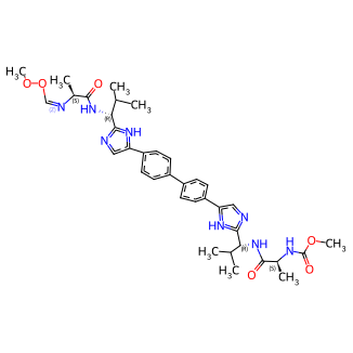 COO/C=N\[C@@H](C)C(=O)N[C@@H](c1ncc(-c2ccc(-c3ccc(-c4cnc([C@H](NC(=O)[C@H](C)NC(=O)OC)C(C)C)[nH]4)cc3)cc2)[nH]1)C(C)C